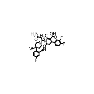 CC1=C(C(=O)O)C(c2ccc(F)c(F)c2)CC(=O)N1C(CC(N)=O)N1CCC(C#N)(c2ccc(F)cc2C#N)CC1